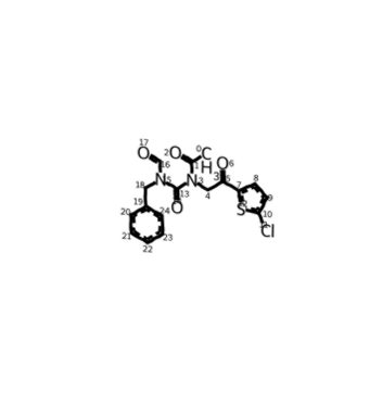 CC(=O)N(CC(=O)c1ccc(Cl)s1)C(=O)N(C=O)Cc1ccccc1